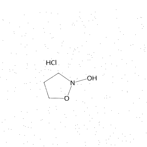 Cl.ON1CCCO1